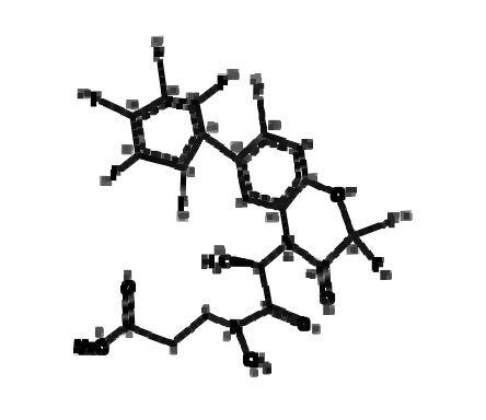 COC(=O)CCN(C)C(=O)[C@@H](C)N1C(=O)C(F)(F)Oc2cc(F)c(-c3c(F)c(F)c(F)c(F)c3F)cc21